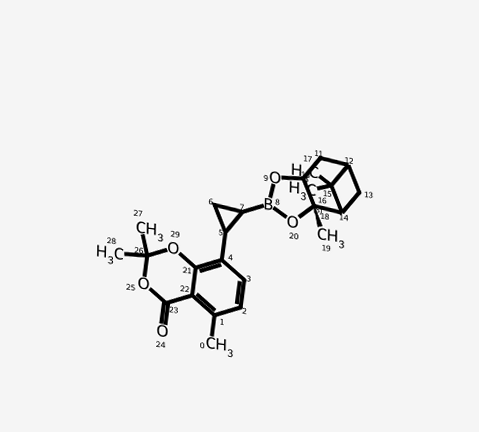 Cc1ccc(C2CC2B2OC3CC4CC(C4(C)C)[C@]3(C)O2)c2c1C(=O)OC(C)(C)O2